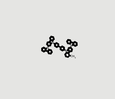 CC1CC=Cc2c1c1ccc(-n3c4ccccc4c4ccccc43)cc1n2-c1ccc(-c2ccc(-n3c4ccccc4c4ccc(-n5c6ccccc6c6ccccc65)cc43)cc2)cc1